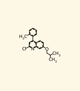 Cc1ccccc1-c1cc(Cl)nc2cc(OCC(C)C)ccc12